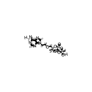 CP(=O)(O)OP(=O)(O)OP(O)(=S)COCCn1cnc2c(N)ncnc21